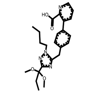 CCCCn1nc(C(CC)(OC)OC)nc1Cc1ccc(-c2cccnc2C(=O)O)cc1